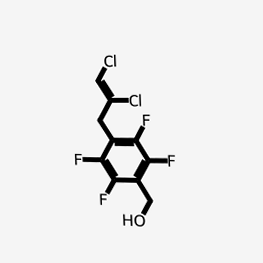 OCc1c(F)c(F)c(CC(Cl)=CCl)c(F)c1F